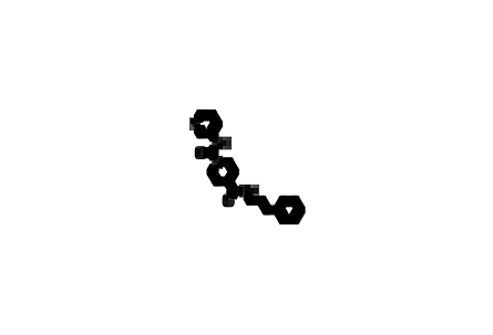 O=C(NCCCc1ccccc1)C1CCN(C(=O)Nc2cccnc2)CC1